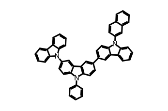 c1ccc(-n2c3ccc(-c4ccc5c(c4)c4ccccc4n5-c4ccc5ccccc5c4)cc3c3cc(-n4c5ccccc5c5ccccc54)ccc32)cc1